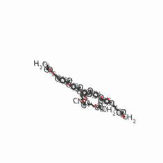 [C-]#[N+]C(C(=O)OCCCCOC(=O)C=C)=C1Sc2c(OC(=O)C3CCC(OC(=O)C4CCC(OCCCCOC(=O)C=C)CC4)CC3)ccc(OC(=O)C3CCC(OC(=O)C4CCC(OCCCCOC(=O)C=C)CC4)CC3)c2S1